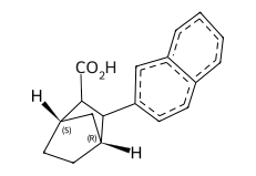 O=C(O)C1C(c2ccc3ccccc3c2)[C@@H]2CC[C@H]1C2